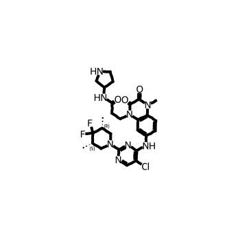 C[C@@H]1CN(c2ncc(Cl)c(Nc3ccc4c(c3)n(CCC(=O)NC3CCNC3)c(=O)c(=O)n4C)n2)C[C@H](C)C1(F)F